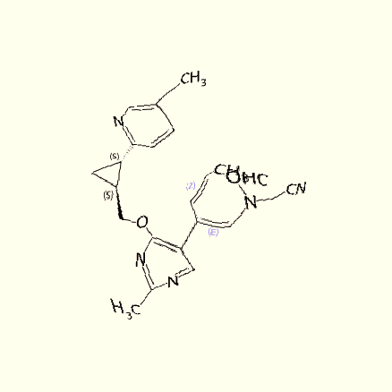 C/C=C\C(=C/N(C=O)CC#N)c1cnc(C)nc1OC[C@H]1C[C@@H]1c1ccc(C)cn1